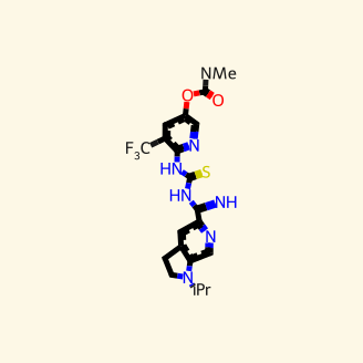 CNC(=O)Oc1cnc(NC(=S)NC(=N)c2cc3c(cn2)N(C(C)C)CC3)c(C(F)(F)F)c1